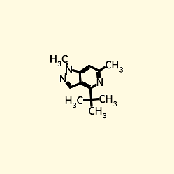 Cc1cc2c(cnn2C)c(C(C)(C)C)n1